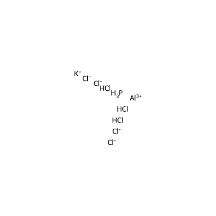 Cl.Cl.Cl.P.[Al+3].[Cl-].[Cl-].[Cl-].[Cl-].[K+]